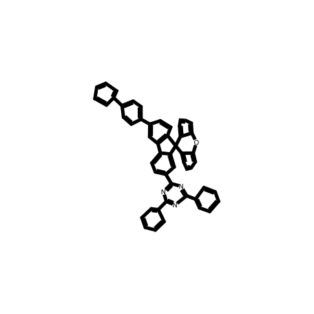 c1ccc(-c2ccc(-c3ccc4c(c3)-c3ccc(-c5nc(-c6ccccc6)nc(-c6ccccc6)n5)cc3C43c4ccccc4Oc4ccccc43)cc2)cc1